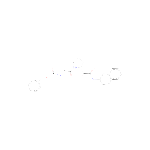 O=C(NCC(=O)N1CCCC1C(O)C(=O)Nc1ccc2ccccc2c1)OCc1ccccc1